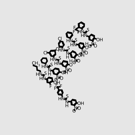 CCCCCNC(=S)Nc1ccc(O)c(F)c1.O=[N+]([O-])c1cc(NC(=S)NC2CCCCC2)ccc1O.O=[N+]([O-])c1cc(NC(=S)Nc2cc(Cl)cc(Cl)c2)ccc1O.O=[N+]([O-])c1cc(NC(=S)Nc2ccc(C(F)(F)F)cc2)ccc1O.O=[N+]([O-])c1cc(NC(=S)Nc2ccc(Cl)cc2)ccc1O.O=[N+]([O-])c1cc(NC(=S)Nc2ccccc2)ccc1O.O=[N+]([O-])c1cc(NC(=S)Nc2ccccc2C(F)(F)F)ccc1O